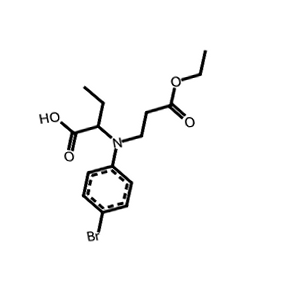 CCOC(=O)CCN(c1ccc(Br)cc1)C(CC)C(=O)O